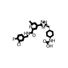 Cc1cc(-c2nnn(C[C@H]3CC[C@H](NC(=O)O)CC3)n2)cc(C(=O)NCc2ccc(F)c(Cl)c2)n1